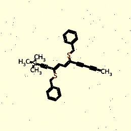 CC#CC#C/C(=C/C=C(/C#C[Si](C)(C)C)SCc1ccccc1)SCc1ccccc1